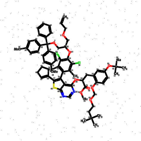 C=CCOC[C@H](COC(c1ccccc1)(c1ccc(OC)cc1)c1ccc(OC)cc1)Oc1c(Cl)c(C)c(-c2c(C3=CCCC3)sc3ncnc(OC(Cc4cc(O[Si](C)(C)C(C)(C)C)ccc4OCOCC[Si](C)(C)C)C(=O)OC(C)(C)C)c23)c(C)c1Cl